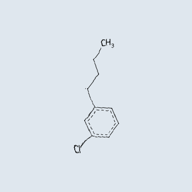 CCC[CH]c1cccc(Cl)c1